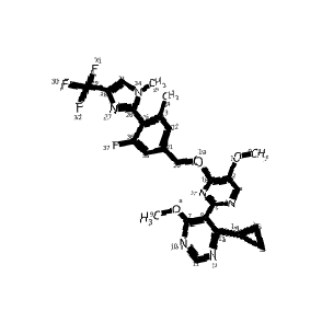 COc1cnc(-c2c(OC)ncnc2C2CC2)nc1OCc1cc(C)c(-c2nc(C(F)(F)F)cn2C)c(F)c1